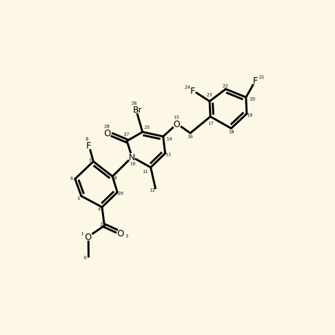 COC(=O)c1ccc(F)c(-n2c(C)cc(OCc3ccc(F)cc3F)c(Br)c2=O)c1